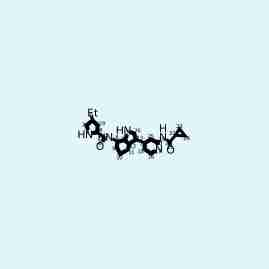 CCc1c[nH]c(C(=O)Nc2cccc3c(-c4ccnc(NC(=O)C5CC5)c4)c[nH]c23)c1